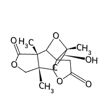 C[C@@]12COC(=O)[C@]1(C)C1O[C@]3(C)[C@@H](O)CC24OC(=O)CC143